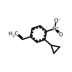 C=Cc1ccc([N+](=O)[O-])c(C2CC2)c1